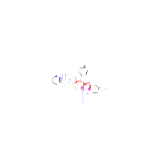 O=c1[nH]c2ccc(Br)cc2cc1C(c1ccc(Cl)cc1)C1(O)CCNC(Cc2ccccc2)C1